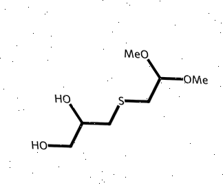 COC(CSCC(O)CO)OC